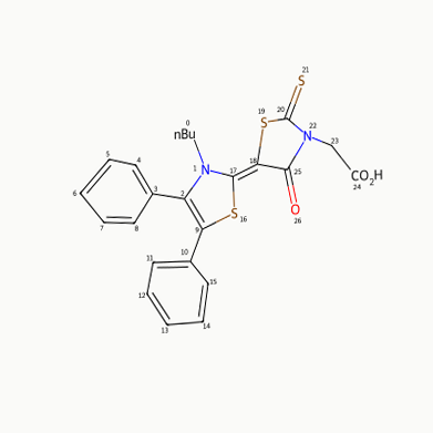 CCCCN1C(c2ccccc2)=C(c2ccccc2)S/C1=C1/SC(=S)N(CC(=O)O)C1=O